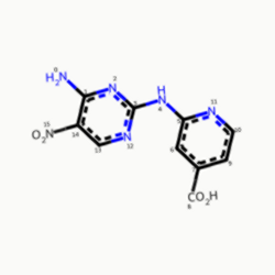 Nc1nc(Nc2cc(C(=O)O)ccn2)ncc1[N+](=O)[O-]